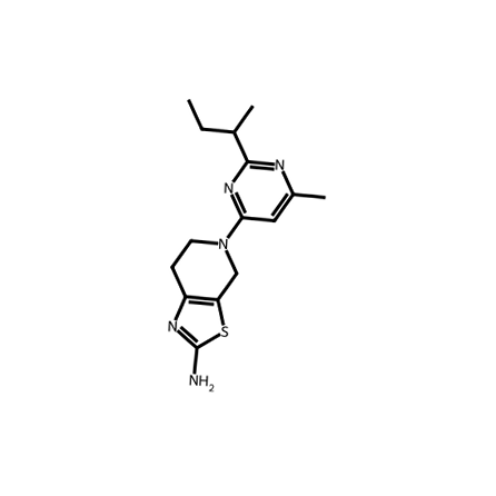 CCC(C)c1nc(C)cc(N2CCc3nc(N)sc3C2)n1